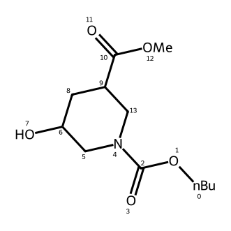 CCCCOC(=O)N1CC(O)CC(C(=O)OC)C1